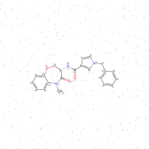 CN1C(=O)[C@@H](NC(=O)c2ccn(Cc3ccccc3)c2)COc2ccccc21